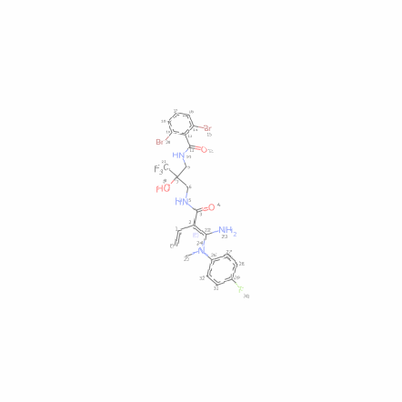 C=C/C(C(=O)NCC(O)(CNC(=O)c1c(Br)cccc1Br)C(F)(F)F)=C(/N)N(C)c1ccc(F)cc1